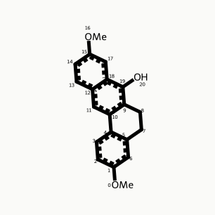 COc1ccc2c(c1)CCc1c-2cc2ccc(OC)cc2c1O